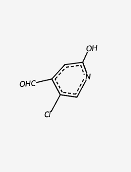 O=Cc1cc(O)ncc1Cl